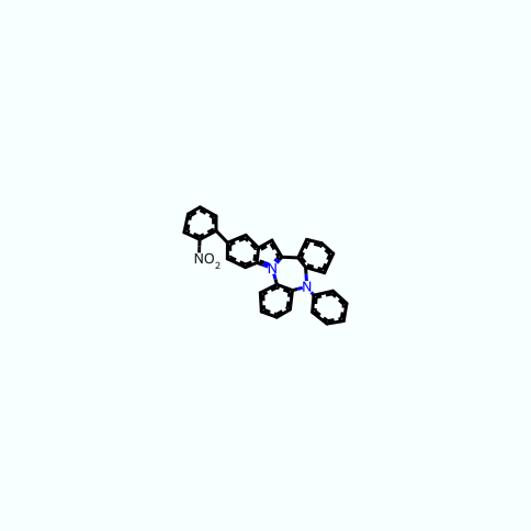 O=[N+]([O-])c1ccccc1-c1ccc2c(c1)cc1n2-c2ccccc2N(c2ccccc2)c2ccccc2-1